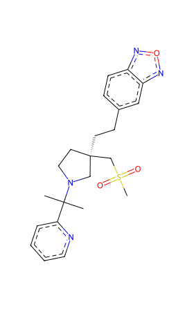 CC(C)(c1ccccn1)N1CC[C@@](CCc2ccc3nonc3c2)(CS(C)(=O)=O)C1